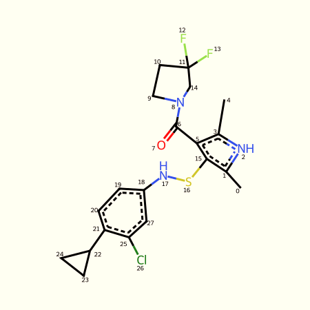 Cc1[nH]c(C)c(C(=O)N2CCC(F)(F)C2)c1SNc1ccc(C2CC2)c(Cl)c1